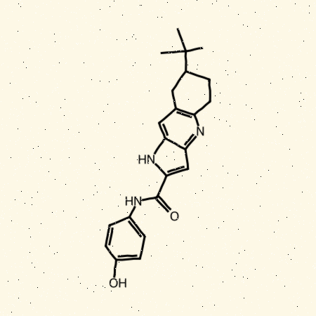 CC(C)(C)C1CCc2nc3cc(C(=O)Nc4ccc(O)cc4)[nH]c3cc2C1